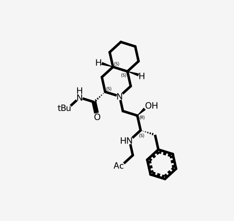 CC(=O)CN[C@@H](Cc1ccccc1)[C@H](O)CN1C[C@H]2CCCC[C@H]2C[C@H]1C(=O)NC(C)(C)C